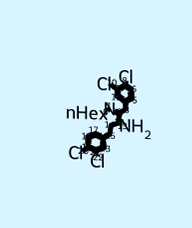 CCCCCCN=C(Cc1ccc(Cl)c(Cl)c1)C(N)CCc1ccc(Cl)c(Cl)c1